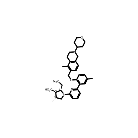 COC[C@@H]1[C@H](C(=O)O)[C@@H](C)CN1c1cccc(-c2cc(C)ccc2OCc2ccc3c(c2C)CCN(C2CCOCC2)C3)n1